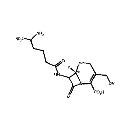 NC(CCCC(=O)NC1C(=O)N2C(C(=O)O)=C(CO)CS[C@@H]12)C(=O)O